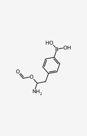 NC(Cc1ccc(B(O)O)cc1)OC=O